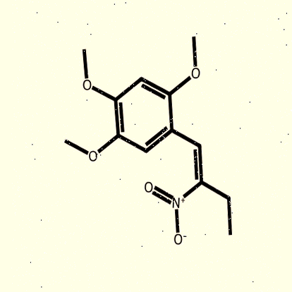 CCC(=Cc1cc(OC)c(OC)cc1OC)[N+](=O)[O-]